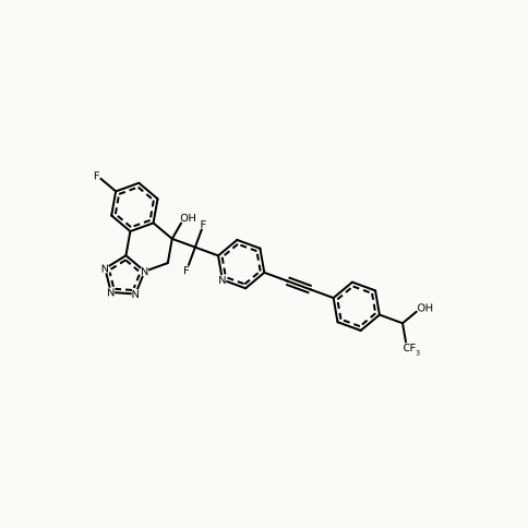 OC(c1ccc(C#Cc2ccc(C(F)(F)C3(O)Cn4nnnc4-c4cc(F)ccc43)nc2)cc1)C(F)(F)F